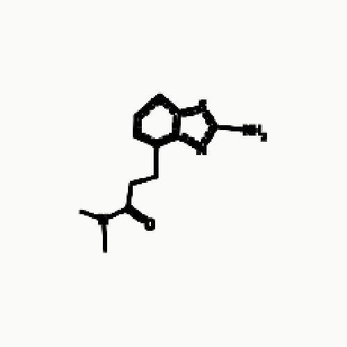 CN(C)C(=O)CCc1cccc2sc(N)nc12